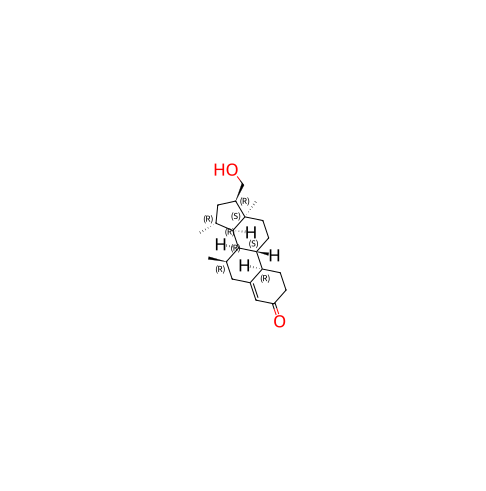 C[C@@H]1CC2=CC(=O)CC[C@@H]2[C@H]2CC[C@]3(C)[C@H](CO)C[C@@H](C)[C@@H]3[C@@H]21